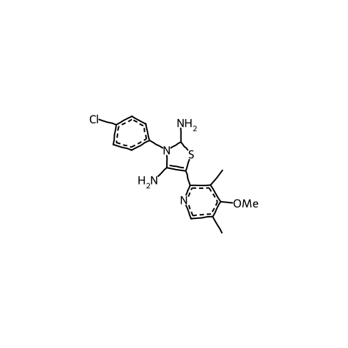 COc1c(C)cnc(C2=C(N)N(c3ccc(Cl)cc3)C(N)S2)c1C